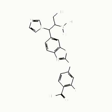 CCC(C(c1ccc2nc(Oc3ccc(C(=O)O)c(C)c3)sc2c1)n1ccnc1)N(C)C